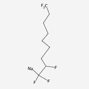 FC(CCCCCCC(F)(F)F)[C](F)(F)[Na]